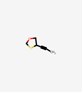 CC#CC1COCS1